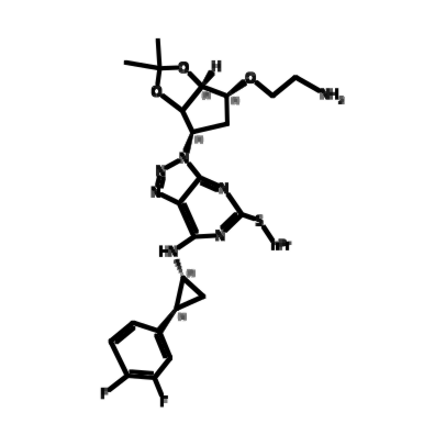 CCCSc1nc(N[C@@H]2C[C@H]2c2ccc(F)c(F)c2)c2nnn([C@@H]3C[C@H](OCCN)[C@H]4OC(C)(C)OC34)c2n1